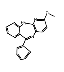 COc1ccc2c(n1)Nc1ccccc1C(c1ccccc1)=N2